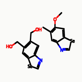 COc1cc2[se]cnc2cc1C.OCc1cc2nc[se]c2cc1CO